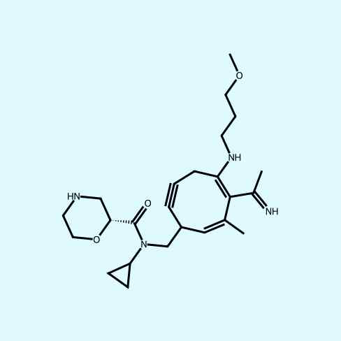 COCCCN/C1=C(C(C)=N)/C(C)=C\C(CN(C(=O)[C@H]2CNCCO2)C2CC2)C#CC1